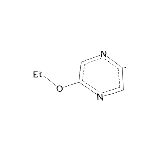 CCOc1cn[c]cn1